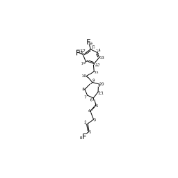 FC=CCCCC1CCC(CCc2ccc(F)c(F)c2)CC1